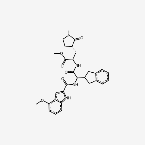 COC(=O)C(C[C@@H]1CCNC1=O)NC(=O)C(NC(=O)c1cc2c(OC)cccc2[nH]1)C1Cc2ccccc2C1